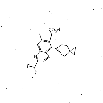 Cc1cc2nc(C(F)F)ccc2c(C2=CCC3(CC2)CC3)c1CC(=O)O